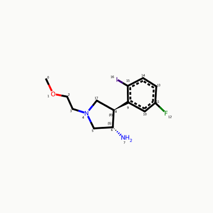 COCCN1C[C@@H](N)[C@H](c2cc(F)ccc2I)C1